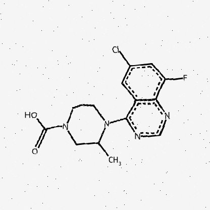 CC1CN(C(=O)O)CCN1c1ncnc2c(F)cc(Cl)cc12